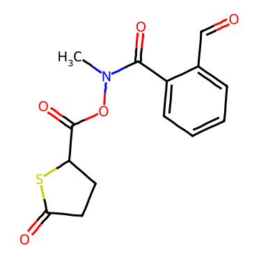 CN(OC(=O)C1CCC(=O)S1)C(=O)c1ccccc1C=O